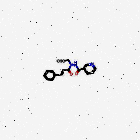 O=[C]CN(NC(=O)c1cccnc1)C(=O)C=Cc1ccccc1